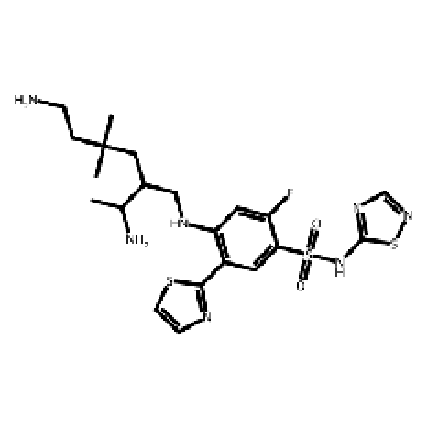 CC(N)C(CNc1cc(F)c(S(=O)(=O)Nc2ncns2)cc1-c1nccs1)CC(C)(C)CCN